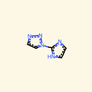 [c]1cn(-c2ncc[nH]2)nn1